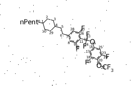 CCCCCC1CCC(CCc2cc(F)c(C(F)(F)Oc3cc(F)c(OC(F)(F)F)c(F)c3)c(F)c2)CC1